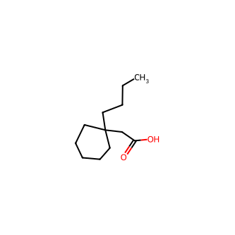 CCCCC1(CC(=O)O)CCCCC1